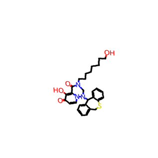 O=C1c2c(O)c(=O)ccn2N(C2c3ccccc3CSc3ccccc32)CN1CCCCCCCCO